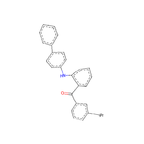 CC(C)c1cccc(C(=O)c2ccccc2Nc2ccc(-c3ccccc3)cc2)c1